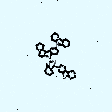 c1ccc2c(c1)ccc1c2c2cc(-n3c4ccccc4c4ccccc43)ccc2n1-c1nc(-c2ccc3c(c2)sc2ccccc23)c2ccccc2n1